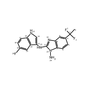 CC(F)(F)c1ccc2c(c1)nc(Nc1c[nH]c3ccc(F)cc13)n2N